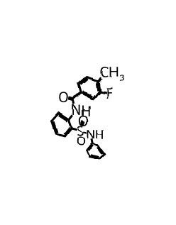 Cc1ccc(C(=O)Nc2ccccc2S(=O)(=O)Nc2ccccc2)cc1F